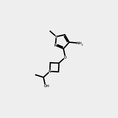 CC(O)N1CC(Oc2nn(C)cc2N)C1